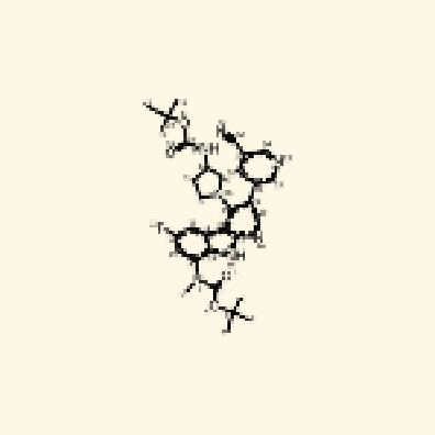 CN(C(=O)OC(C)(C)C)c1cc(F)cc2c1[nH]c1ncc(-c3cncc(C#N)c3)c(N3CCC(NC(=O)OC(C)(C)C)C3)c12